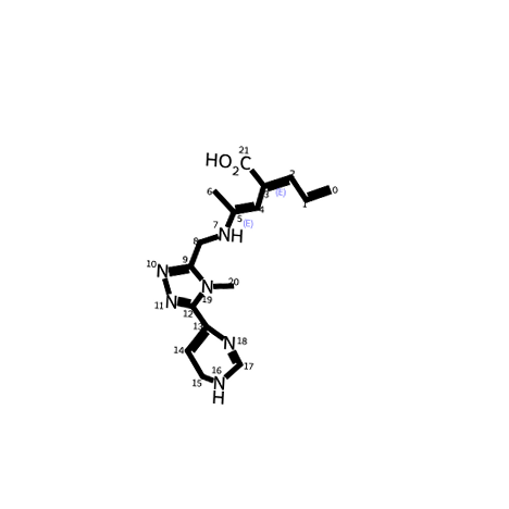 C=C/C=C(\C=C(/C)NCc1nnc(C2=CCNC=N2)n1C)C(=O)O